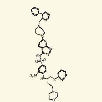 O=[N+]([O-])c1cc(S(=O)(=O)Nc2ncnc3cc(N4CCN(Cc5ccccc5-c5ccccc5)CC4)ccc23)ccc1N[C@@H](CCN1CCOCC1)CSc1ccccc1